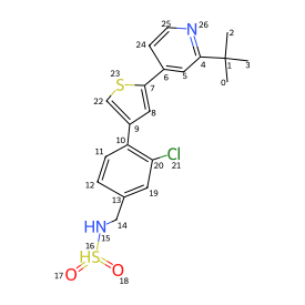 CC(C)(C)c1cc(-c2cc(-c3ccc(CN[SH](=O)=O)cc3Cl)cs2)ccn1